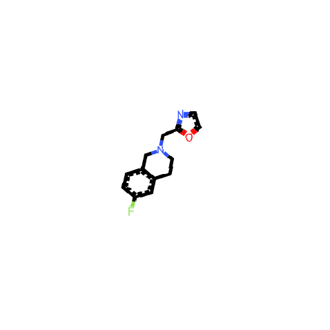 Fc1ccc2c(c1)CCN(Cc1ncco1)C2